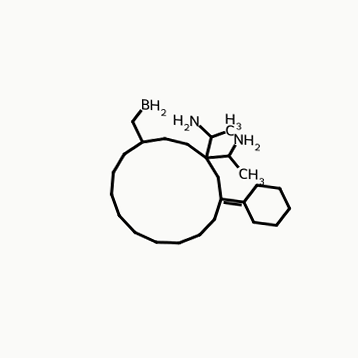 BCC1CCCCCCCCCC(=C2CCCCC2)CC(C(C)N)(C(C)N)CC1